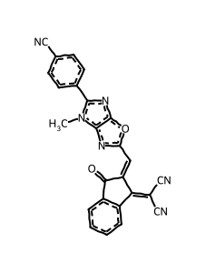 Cn1c(-c2ccc(C#N)cc2)nc2oc(/C=C3\C(=O)c4ccccc4C3=C(C#N)C#N)nc21